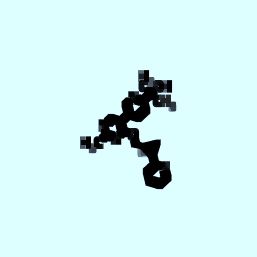 Cc1ncc(-c2ccc(C(C)(C)O)nc2)c(OC[C@H]2CC2c2ccccn2)n1